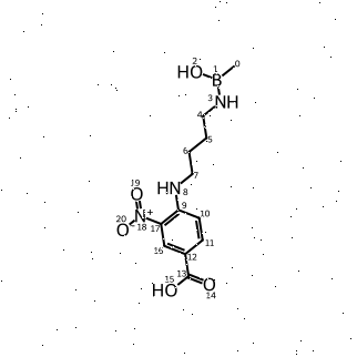 CB(O)NCCCCNc1ccc(C(=O)O)cc1[N+](=O)[O-]